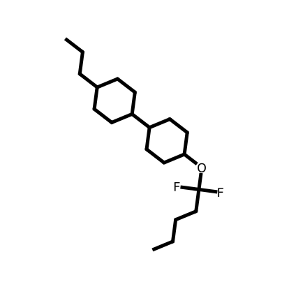 CCCCC(F)(F)OC1CCC(C2CCC(CCC)CC2)CC1